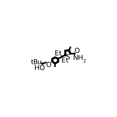 CCC(CC)(c1ccc(OCC(O)C(C)(C)C)c(C)c1)c1cc(C)c(C(N)=O)s1